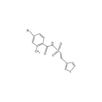 Cc1cc(Br)ccc1C(=O)NS(=O)(=O)C=Cc1ccsc1